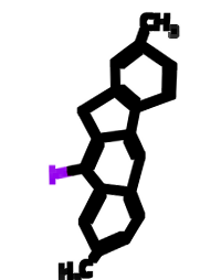 Cc1ccc2c(c1)Cc1c-2cc2ccc(C)cc2c1I